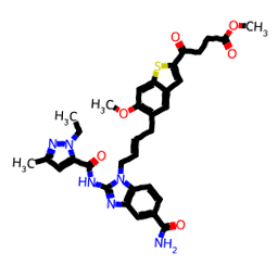 CCn1nc(C)cc1C(=O)Nc1nc2cc(C(N)=O)ccc2n1C/C=C/Cc1cc2cc(C(=O)CCC(=O)OC)sc2cc1OC